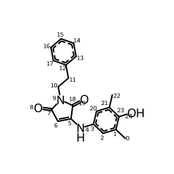 Cc1cc(NC2=CC(=O)N(CCc3ccccc3)C2=O)cc(C)c1O